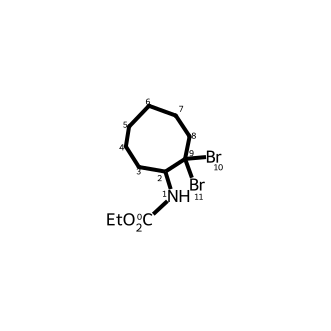 CCOC(=O)NC1CCCCCCC1(Br)Br